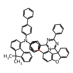 CC1(C)c2ccccc2-c2c(N(c3ccc(-c4ccccc4)cc3)c3ccc(-c4ccc5c(c4)C4(c6nc(-c7ccccc7)nc(-c7ccccc7)n6)CC=CC=C4O5)cc3)cccc21